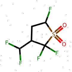 O=S1(=O)C(F)CC(C(F)F)C1(F)F